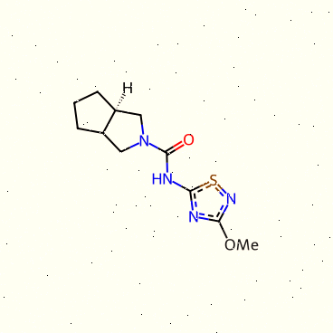 COc1nsc(NC(=O)N2CC3CCC[C@H]3C2)n1